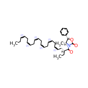 CC/C=C\C/C=C\C/C=C\C/C=C\C/C=C\C/C=C\C[C@@H](CC)C(=O)N1C(=O)O[C@@H](c2ccccc2)[C@H]1C